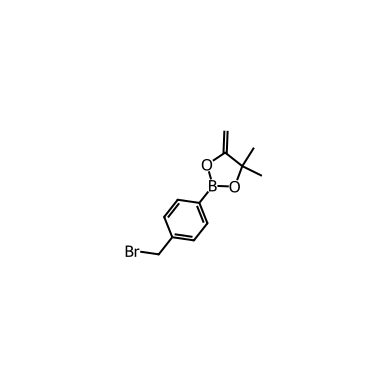 C=C1OB(c2ccc(CBr)cc2)OC1(C)C